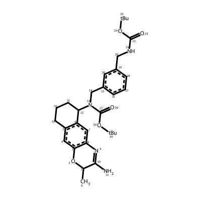 CC1Oc2cc3c(cc2N=C1N)C(N(Cc1cccc(CNC(=O)OC(C)(C)C)c1)C(=O)OC(C)(C)C)CCC3